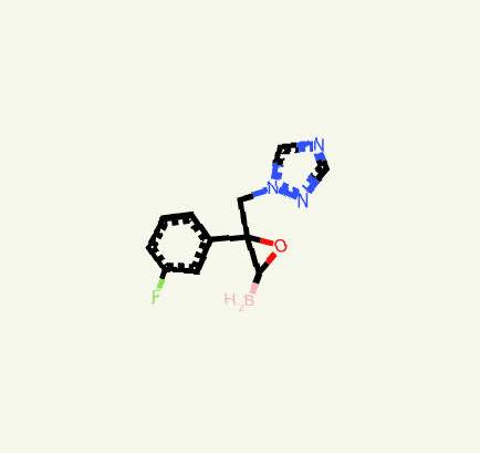 BC1OC1(Cn1cncn1)c1cccc(F)c1